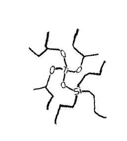 CCC[Si](CCC)(CCC)[O][Ti]([O]C(C)CC)([O]C(C)CC)[O]C(C)CC